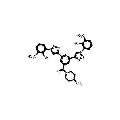 CN1CCN(C(=O)c2cc(-c3cn(-c4cccc(C(=O)O)c4O)nn3)nc(-c3cn(-c4cccc(C(=O)O)c4O)nn3)c2)CC1